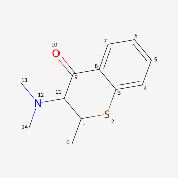 CC1Sc2ccccc2C(=O)C1N(C)C